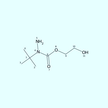 CC(C)(C)N(N)C(=O)OCCO